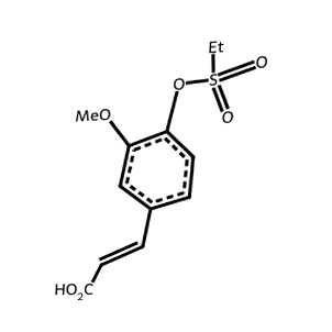 CCS(=O)(=O)Oc1ccc(C=CC(=O)O)cc1OC